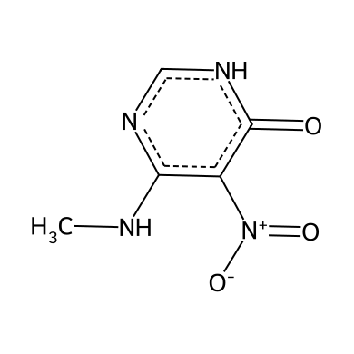 CNc1nc[nH]c(=O)c1[N+](=O)[O-]